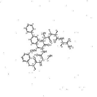 COc1cccc(C[C@H](C)C(=O)N[C@@H](CC(C)C)C(=O)N[C@@H](Cc2ccc(-c3ccccc3)cc2)C(=O)N[C@H](C(=O)N(C)[C@@H](C)C(=O)N[C@H](C)C(N)=O)C(C)C)c1